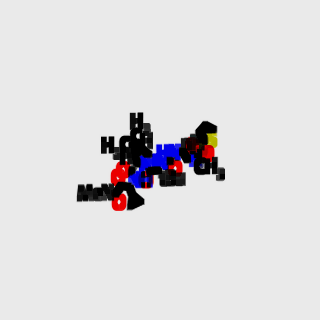 CCC[C@@H](CN(C)S(=O)(=O)c1cccs1)NC(=O)N[C@H](C(=O)N1C[C@H]2[C@@H]([C@H]1C(=O)NC(C(=O)C(=O)NC)C1CC1)C2(C)C)C(C)(C)C